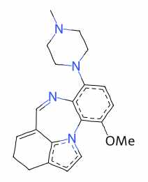 COc1ccc(N2CCN(C)CC2)c2c1-n1ccc3c1C(=CCC3)C=N2